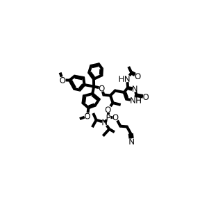 COc1ccc(C(OCC(Cc2c[nH]c(=O)nc2NC(C)=O)C(C)OP(OCCC#N)N(C(C)C)C(C)C)(c2ccccc2)c2ccc(OC)cc2)cc1